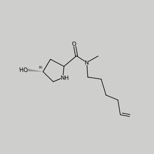 C=CCCCCN(C)C(=O)C1C[C@@H](O)CN1